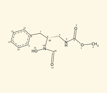 COC(=O)NC[C@@H](Cc1ccccc1)N(O)C=O